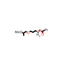 COC(C)COCCC[SiH2]OC(=O)C(C)C